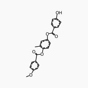 COc1ccc(C(=O)Oc2ccc(OC(=O)c3ccc(O)cc3)cc2C)cc1